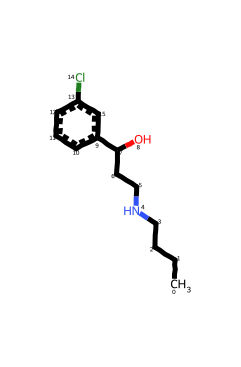 CCCCNCCC(O)c1cccc(Cl)c1